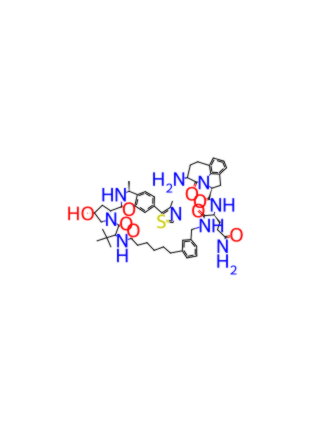 Cc1ncsc1-c1ccc([C@H](C)NC(=O)C2C[C@@H](O)CN2C(=O)[C@@H](NC(=O)CCCCCc2cccc(CNC(=O)[C@H](CCC(N)=O)NC(=O)[C@@H]3Cc4cccc5c4N3C(=O)[C@@H](N)CC5)c2)C(C)(C)C)cc1